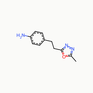 Cc1nnc(CCc2ccc(N)cc2)o1